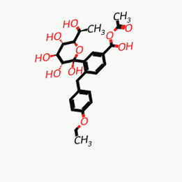 CCOc1ccc(Cc2ccc(C(O)OC(C)=O)cc2[C@@]2(O)O[C@H]([C@H](C)O)[C@@H](O)[C@H](O)[C@H]2O)cc1